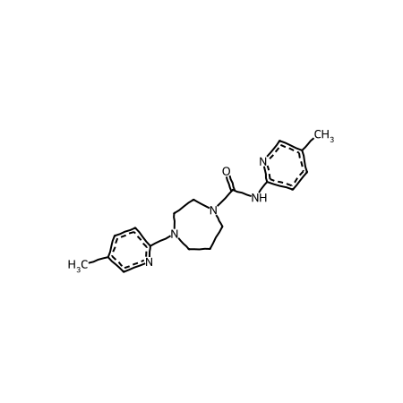 Cc1ccc(NC(=O)N2CCCN(c3ccc(C)cn3)CC2)nc1